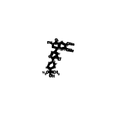 CCn1cc(-c2cnc(N3CCC(C(C)(C)O)CC3)c(Cl)c2)c2cc(OC)c(OC)cc2c1=O